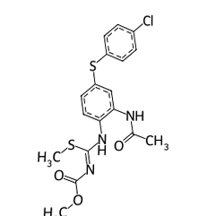 COC(=O)/N=C(/Nc1ccc(Sc2ccc(Cl)cc2)cc1NC(C)=O)SC